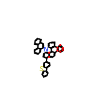 c1ccc(-c2ccccc2-c2c(-c3ccccc3)cccc2N(c2ccc(-c3ccc4c(c3)sc3ccccc34)cc2)c2cc3ccccc3c3ccccc23)cc1